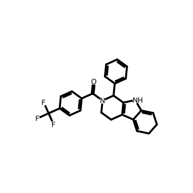 O=C(c1ccc(C(F)(F)F)cc1)N1CCc2c([nH]c3c2=CCCC=3)C1c1ccccc1